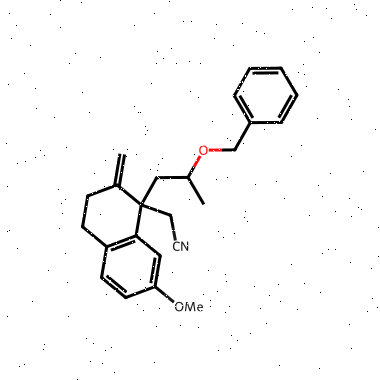 C=C1CCc2ccc(OC)cc2C1(CC#N)CC(C)OCc1ccccc1